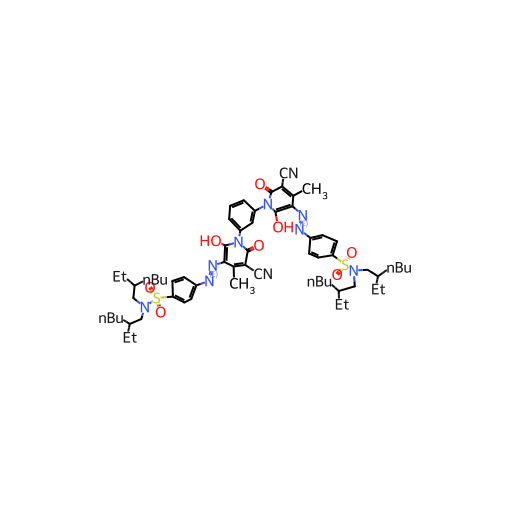 CCCCC(CC)CN(CC(CC)CCCC)S(=O)(=O)c1ccc(/N=N/c2c(C)c(C#N)c(=O)n(-c3cccc(-n4c(O)c(/N=N/c5ccc(S(=O)(=O)N(CC(CC)CCCC)CC(CC)CCCC)cc5)c(C)c(C#N)c4=O)c3)c2O)cc1